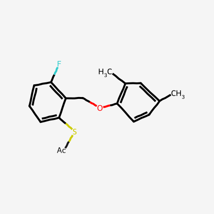 CC(=O)Sc1cccc(F)c1COc1ccc(C)cc1C